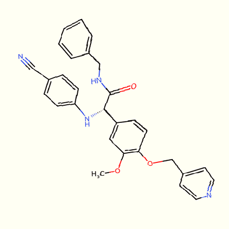 COc1cc([C@H](Nc2ccc(C#N)cc2)C(=O)NCc2ccccc2)ccc1OCc1ccncc1